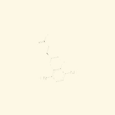 Nc1ccc(N)c2c1OC[C@H](CCC(=O)O)O2